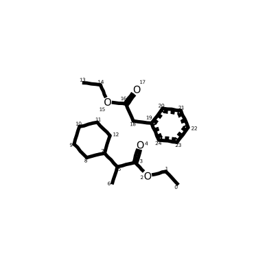 CCOC(=O)C(C)C1CCCCC1.CCOC(=O)Cc1ccccc1